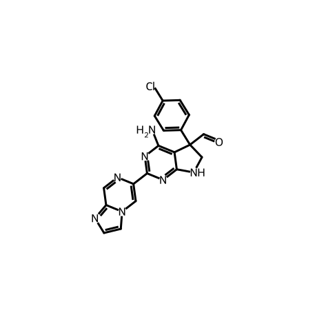 Nc1nc(-c2cn3ccnc3cn2)nc2c1C(C=O)(c1ccc(Cl)cc1)CN2